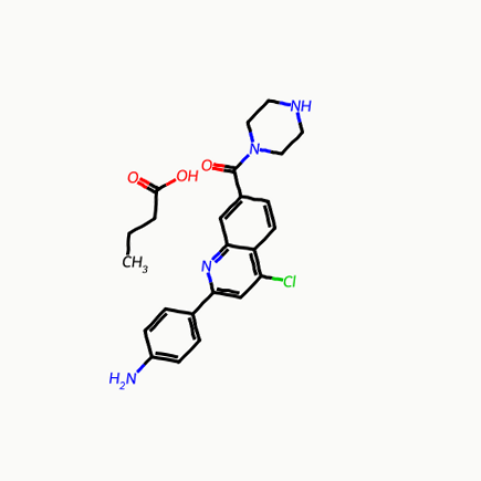 CCCC(=O)O.Nc1ccc(-c2cc(Cl)c3ccc(C(=O)N4CCNCC4)cc3n2)cc1